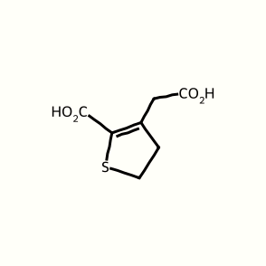 O=C(O)CC1=C(C(=O)O)SCC1